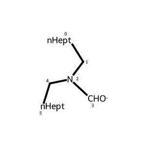 CCCCCCCCN([C]=O)CCCCCCCC